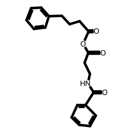 O=C(CCCc1ccccc1)OC(=O)CCNC(=O)c1ccccc1